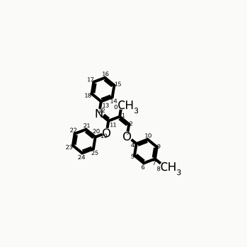 CC(=COc1ccc(C)cc1)/C(=N\c1ccccc1)Oc1ccccc1